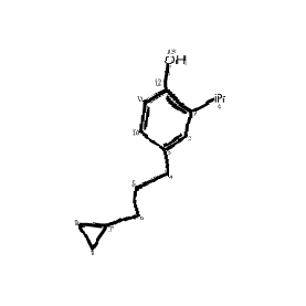 CC(C)c1cc(CCCC2CC2)ccc1O